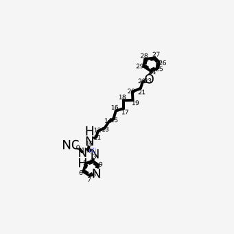 N#CN/C(=N\c1cccnc1)NCCCCCCCCCCCCOc1ccccc1